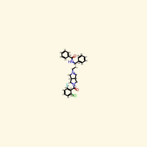 O=C(N[C@@H](CCN1CC2CN(C(=O)c3c(F)cccc3Cl)CC2C1)c1ccccc1)c1ccccc1